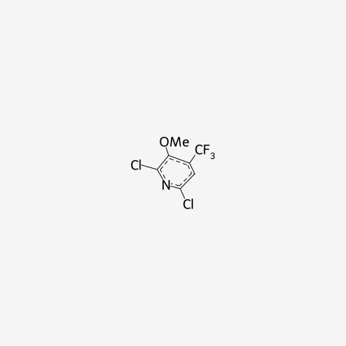 COc1c(C(F)(F)F)cc(Cl)nc1Cl